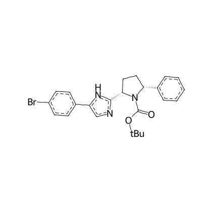 CC(C)(C)OC(=O)N1[C@@H](c2ccccc2)CC[C@H]1c1ncc(-c2ccc(Br)cc2)[nH]1